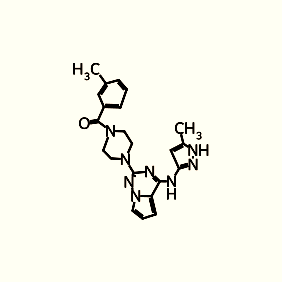 Cc1cccc(C(=O)N2CCN(c3nc(Nc4cc(C)[nH]n4)c4cccn4n3)CC2)c1